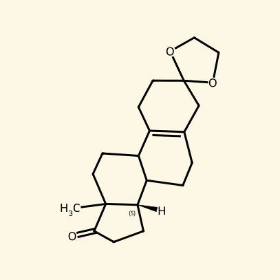 CC12CCC3C4=C(CCC3[C@@H]1CCC2=O)CC1(CC4)OCCO1